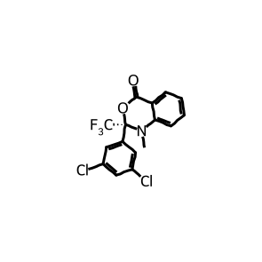 CN1c2ccccc2C(=O)O[C@@]1(c1cc(Cl)cc(Cl)c1)C(F)(F)F